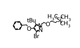 CC(C)(C)c1c(OCc2ccccc2)c(Br)nn1COCC[Si](C)(C)C